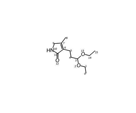 CCOC(CCC1=C(C)CNC1=O)OCC